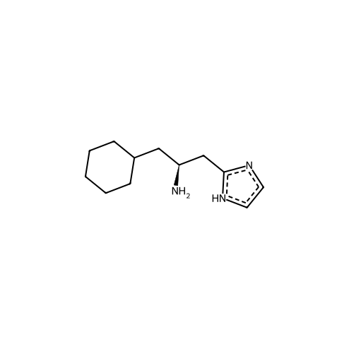 N[C@H](Cc1ncc[nH]1)CC1CCCCC1